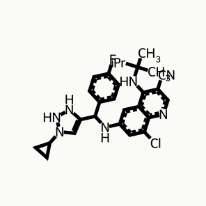 CC(C)C(C)(C)Nc1c(C#N)cnc2c(Cl)cc(NC(C3=CN(C4CC4)NN3)c3ccc(F)cc3)cc12